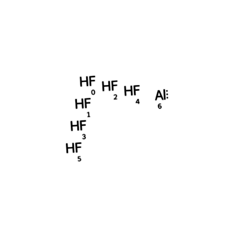 F.F.F.F.F.F.[Al]